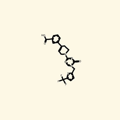 O=C(O)c1cccc(C2=CCN(c3ncn(Cc4ccc(C(F)(F)F)s4)c(=O)n3)CC2)c1